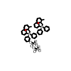 Cc1ccccc1C[P+](c1ccccc1)(c1ccccc1)c1ccccc1.Cc1ccccc1C[P+](c1ccccc1)(c1ccccc1)c1ccccc1.[Cl][Mn-]([Cl])([Cl])[Cl].[Cl][Mn-]([Cl])([Cl])[Cl]